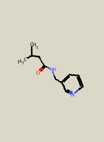 CC(C)CC(=O)NCc1cccnc1